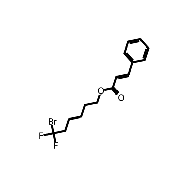 O=C(C=Cc1ccccc1)OCCCCCC(F)(F)Br